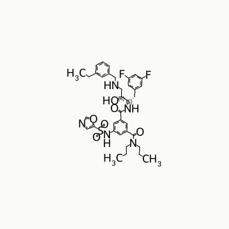 CCCN(CCC)C(=O)c1cc(NS(=O)(=O)c2cnco2)cc(C(=O)N[C@@H](Cc2cc(F)cc(F)c2)[C@H](O)CNCc2cccc(CC)c2)c1